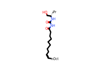 CCCCCCCC/C=C\CCCCCCCC(=O)NC(=O)N[C@H](CO)C(C)C